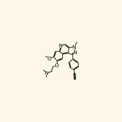 C#Cc1ccc(-c2nn(C)c3cnc4cc(OC)c(OCCN(C)C)cc4c23)cc1